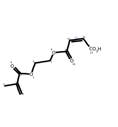 C=C(C)C(=O)OCCOC(=O)/C=C\C(=O)O